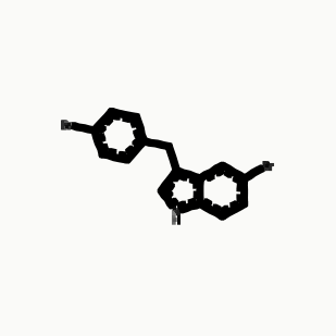 Brc1ccc(Cc2c[nH]c3ccc(Br)cc23)cc1